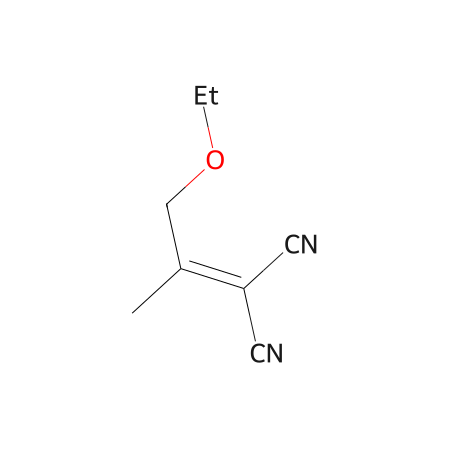 CCOCC(C)=C(C#N)C#N